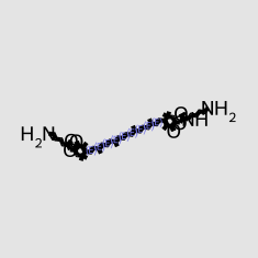 CC1=C(/C=C/C(C)=C/C=C/C(C)=C/C=C/C=C(C)/C=C/C=C(C)/C=C/C2=C(C)C(=O)C(OC(=O)NCCCCN)CC2(C)C)C(C)(C)CC(OC(=O)CCCCN)C1=O